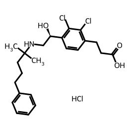 CC(C)(CCCc1ccccc1)NC[C@@H](O)c1ccc(CCC(=O)O)c(Cl)c1Cl.Cl